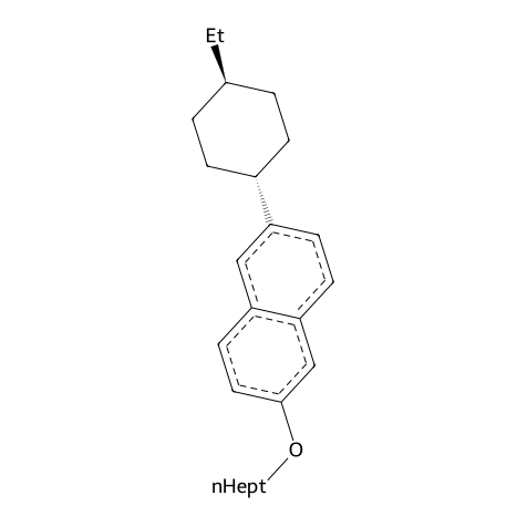 CCCCCCCOc1ccc2cc([C@H]3CC[C@H](CC)CC3)ccc2c1